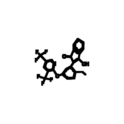 CCc1ccc(Oc2ncc(C(F)(F)F)cc2C(F)(F)F)cc1C1=C(O)c2c(c3ccc2o3)C1=O